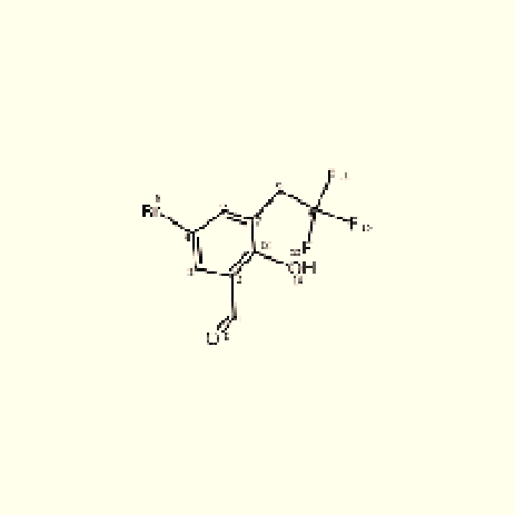 O=Cc1cc(Br)cc(CC(F)(F)F)c1O